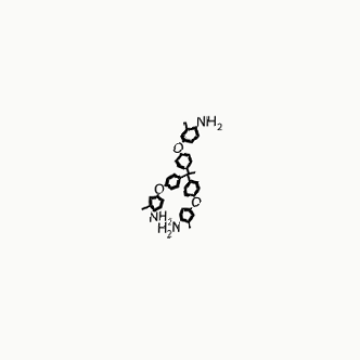 Cc1cc(Oc2ccc(C(C)(c3ccc(Oc4ccc(N)c(C)c4)cc3)c3ccc(Oc4ccc(N)c(C)c4)cc3)cc2)ccc1N